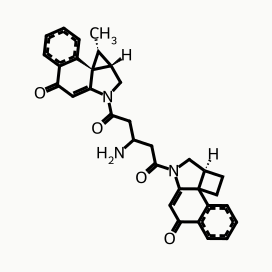 C[C@@H]1[C@@H]2CN(C(=O)CC(N)CC(=O)N3C[C@H]4CCC45C3=CC(=O)c3ccccc35)C3=CC(=O)c4ccccc4[C@@]312